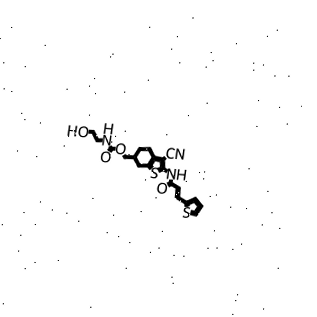 N#Cc1c(NC(=O)C=Cc2cccs2)sc2c1CCC(COC(=O)NCCO)C2